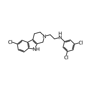 Clc1cc(Cl)cc(NCCN2CCc3c([nH]c4ccc(Cl)cc34)C2)c1